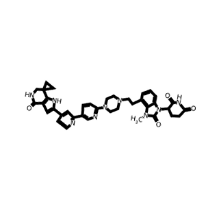 Cn1c(=O)n(C2CCC(=O)NC2=O)c2cccc(CCN3CCN(c4ccc(-c5cc(-c6cc7c([nH]6)C6(CC6)CNC7=O)ccn5)cn4)CC3)c21